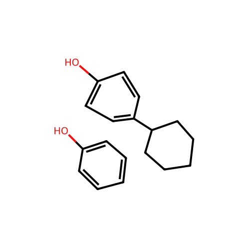 Oc1ccc(C2CCCCC2)cc1.Oc1ccccc1